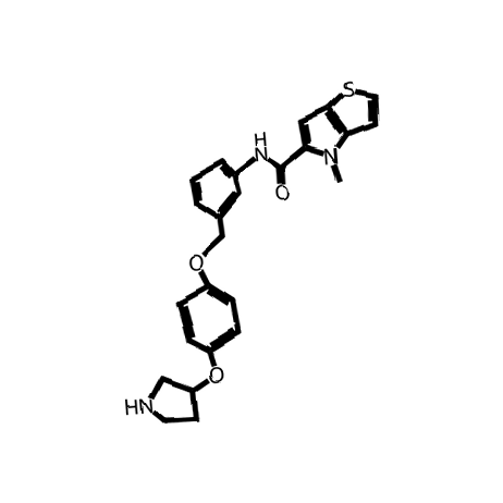 Cn1c(C(=O)Nc2cccc(COc3ccc(OC4CCNC4)cc3)c2)cc2sccc21